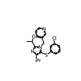 CC(=O)OC(C)c1nc(C(C)C)c(Sc2cccc(Cl)c2)n1Cc1cccnc1